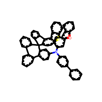 c1ccc(-c2ccc(N(c3ccc4c(c3)C3(c5ccccc5-c5ccccc5-4)c4ccccc4-c4c3ccc3sc5ccccc5c43)c3ccc4c(c3)oc3ccccc34)cc2)cc1